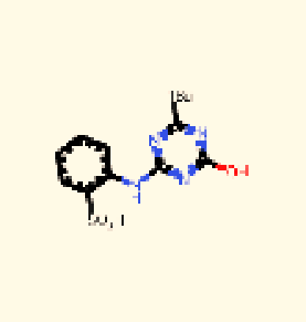 CC(C)(C)c1nc(O)nc(Nc2ccccc2S(=O)(=O)O)n1